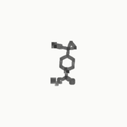 CC(=O)N1CCC(C2(C#N)CC2)CC1